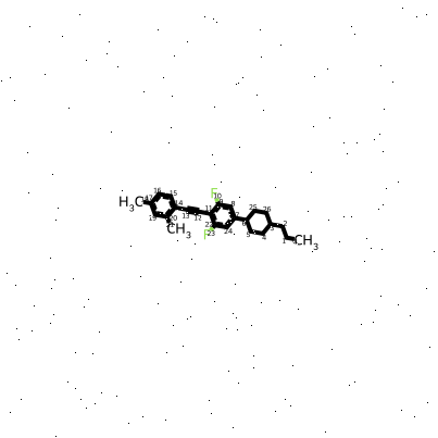 CCCC1CCC(c2cc(F)c(C#Cc3ccc(C)cc3C)c(F)c2)CC1